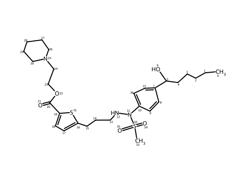 CCCCCC(O)c1ccc(N(NCCCc2ccc(C(=O)OCCN3CCCCC3)s2)S(C)(=O)=O)cc1